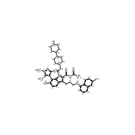 Cc1nn(C)c(C)c1-c1c(Cl)ccc2c(CCCOc3cccc4cc(F)ccc34)c(C(=O)OC(=O)C(F)(F)F)n(CCN3CCN(C4CCNCC4)CC3)c12